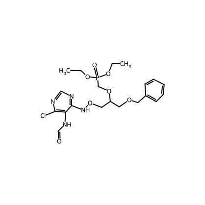 CCOP(=O)(COC(COCc1ccccc1)CONc1ncnc(Cl)c1NC=O)OCC